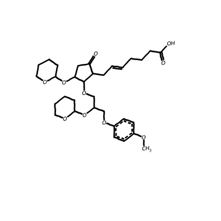 COc1ccc(OCC(COC2C(OC3CCCCO3)CC(=O)C2CC=CCCCC(=O)O)OC2CCCCO2)cc1